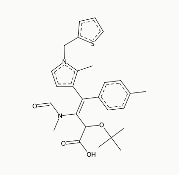 Cc1ccc(/C(=C(\C(OC(C)(C)C)C(=O)O)N(C)C=O)c2ccn(Cc3cccs3)c2C)cc1